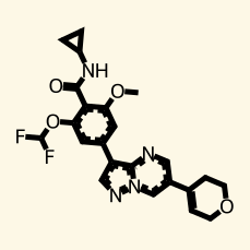 COc1cc(-c2cnn3cc(C4=CCOCC4)cnc23)cc(OC(F)F)c1C(=O)NC1CC1